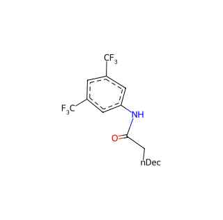 CCCCCCCCCCCC(=O)Nc1cc(C(F)(F)F)cc(C(F)(F)F)c1